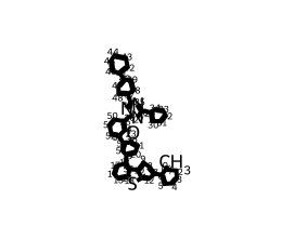 C[C@@H]1CC=CC=C1c1ccc2c(c1)sc1cccc(-c3ccc4oc5c(-c6nc(-c7ccccc7)nc(-c7ccc(-c8ccccc8)cc7)n6)cccc5c4c3)c12